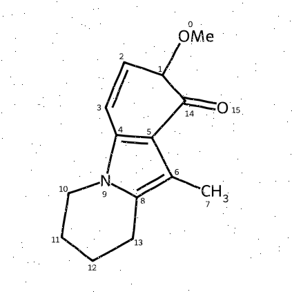 COC1C=Cc2c(c(C)c3n2CCCC3)C1=O